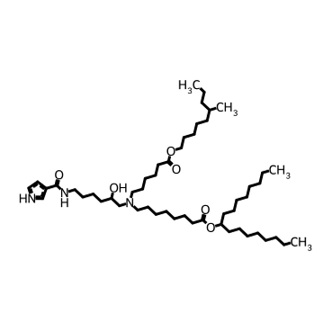 CCCCCCCCC(CCCCCCCC)OC(=O)CCCCCCCN(CCCCCC(=O)OCCCCCC(C)CCC)CC(O)CCCCNC(=O)c1cc[nH]c1